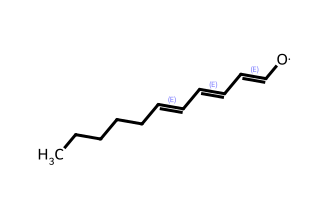 CCCCC/C=C/C=C/C=C/[O]